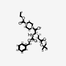 CCOC(=O)N1CCN(C(=O)[C@H](CCC(=O)OC(C)(C)C)NC(=O)OCc2ccccc2)CC1